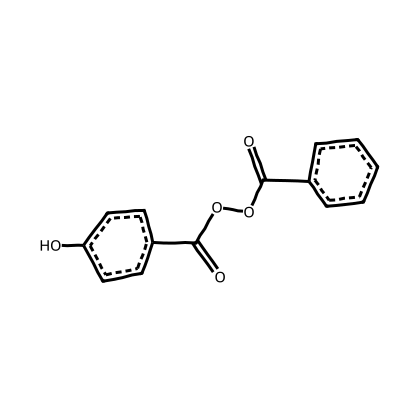 O=C(OOC(=O)c1ccc(O)cc1)c1ccccc1